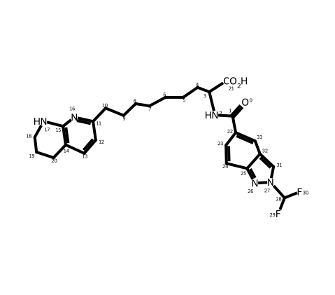 O=C(NC(CCCCCCCc1ccc2c(n1)NCCC2)C(=O)O)c1ccc2nn(C(F)F)cc2c1